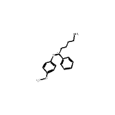 NCCCC[C@H](Oc1ccc(OC(F)(F)F)cc1)c1ccccc1